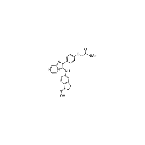 CNC(=O)COc1ccc(-c2nc3cnccn3c2Nc2ccc3c(c2)CC/C3=N\O)cc1